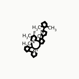 C=C1C2c3ccccc3-c3cccc[n+]3C2CCc2ccc3c(oc4nc(-c5c(C)cccc5C)ccc43)c2-c2cc(F)c(C)c[n+]21